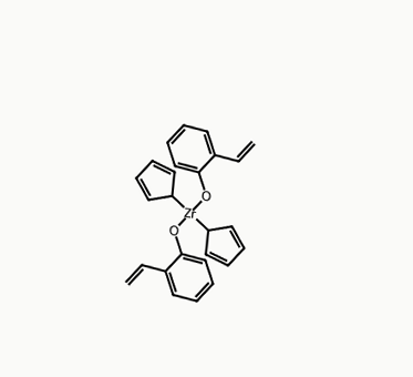 C=Cc1ccccc1[O][Zr]([O]c1ccccc1C=C)([CH]1C=CC=C1)[CH]1C=CC=C1